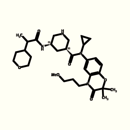 COCCCN1C(=O)C(C)(C)Oc2ccc(N(C(=O)[C@H]3CNC[C@@H](NC(=O)C(C)C4CCOCC4)C3)C3CC3)cc21